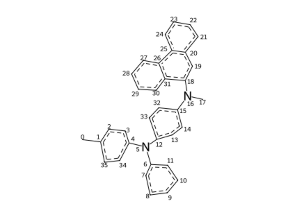 Cc1ccc(N(c2ccccc2)c2ccc(N(C)c3cc4ccccc4c4ccccc34)cc2)cc1